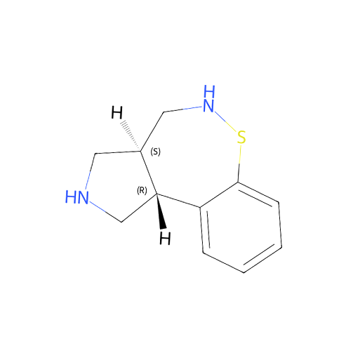 c1ccc2c(c1)SNC[C@@H]1CNC[C@@H]21